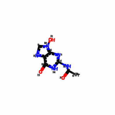 CC(C)C(=O)Nc1nc2c(ncn2O)c(=O)[nH]1